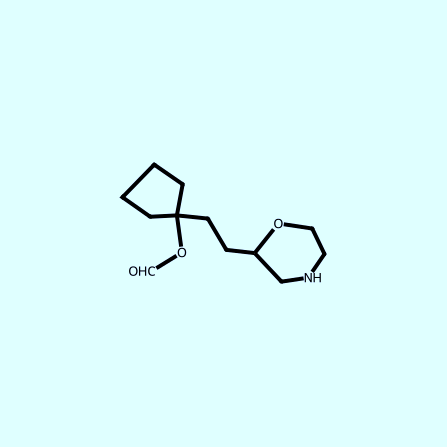 O=COC1(CCC2CNCCO2)CCCC1